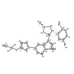 CC(C)(O)Cn1cc(-c2cnc3[nH]nc(N4C[C@@H](F)C[C@@H]4c4cc(F)ccc4F)c3c2)cn1